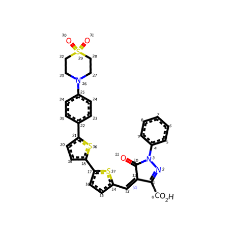 O=C(O)C1=NN(c2ccccc2)C(=O)/C1=C\c1ccc(-c2ccc(-c3ccc(N4CCS(=O)(=O)CC4)cc3)s2)s1